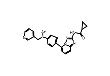 CC(=O)N(Cc1cccnc1)c1ccc(-c2cccc3nc(NC(=O)C4CC4)nn23)cc1